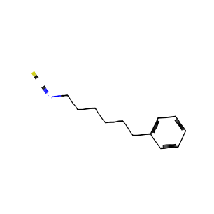 S=C=NCCCCCCc1ccccc1